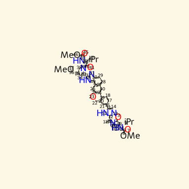 CC[C@H](C)N(C(=O)[C@@H](NC(=O)OC)C(C)C)[C@@H](C)c1ncc(-c2ccc3c(c2)COc2cc4c(ccc5nc([C@@H]6C[C@H](COC)CN6C(=O)[C@@H](NC(=O)OC)C(C)C)[nH]c54)cc2-3)[nH]1